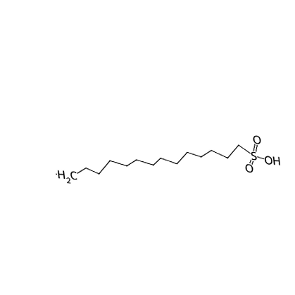 [CH2]CCCCCCCCCCCCCS(=O)(=O)O